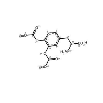 CC(C)COC(=O)Oc1ccc(C[C@H]([AsH2])C(=O)O)cc1OC(=O)OCC(C)C